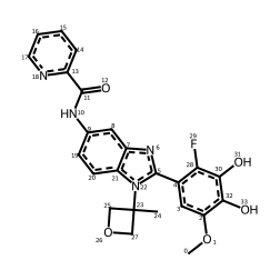 COc1cc(-c2nc3cc(NC(=O)c4ccccn4)ccc3n2C2(C)COC2)c(F)c(O)c1O